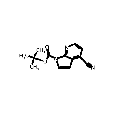 CC(C)(C)OC(=O)n1ccc2c(C#N)ccnc21